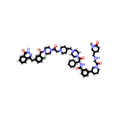 CN1CC(CNCC(=O)N2CCCC(c3cccc(C(=O)N[C@@H](C(=O)N4CCN(CC5CCN(CC(=O)N6CCN(C(=O)c7cc(Cc8n[nH]c(=O)c9ccccc89)ccc7F)CC6)CC5)CC4)C4CCCCC4)c3)C2)CCC1=O